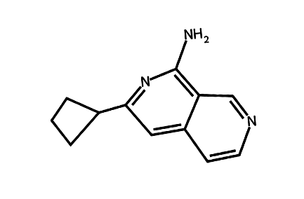 Nc1nc(C2CCC2)cc2ccncc12